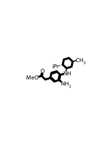 COC(=O)Cc1ccc(N[C@@H]2C[C@H](C)CC[C@H]2C(C)C)c(N)c1